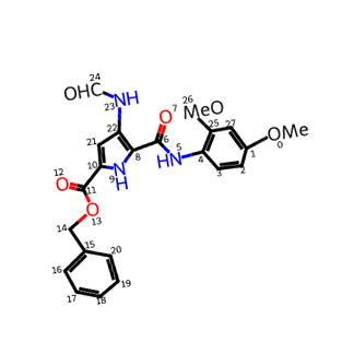 COc1ccc(NC(=O)c2[nH]c(C(=O)OCc3ccccc3)cc2NC=O)c(OC)c1